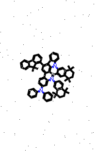 CC1(C)CCC(C)(C)c2cc(N3B4c5cc6c(cc5-n5c7ccccc7c7c(-c8cccc9c8C(C)(C)c8ccccc8-9)cc(c4c75)-c4ccc(N(c5ccccc5)c5ccccc5)cc43)C(C)(C)CCC6(C)C)ccc21